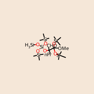 CCCC([C]=O)(O[Si](O[SiH3])(O[Si](C)(C)C)O[Si](C)(C)C)C(OC)(O[Si](C)(C)C)O[Si](C)(C)C